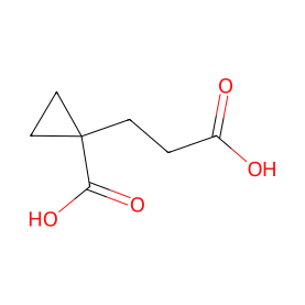 O=C(O)CCC1(C(=O)O)CC1